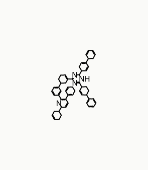 C1=CCC(C2=CCC(C3N=C(C4=CCCC(c5cccc(-c6nc(C7CC=CCC7)ccc6C6=CCCC=C6)c5)C4)N=C(C4C=CC(c5ccccc5)CC4)N3)C=C2)C=C1